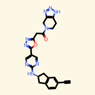 C#Cc1ccc2c(c1)C[C@H](Nc1ncc(-c3nnc(CC(=O)N4CCc5[nH]nnc5C4)o3)cn1)C2